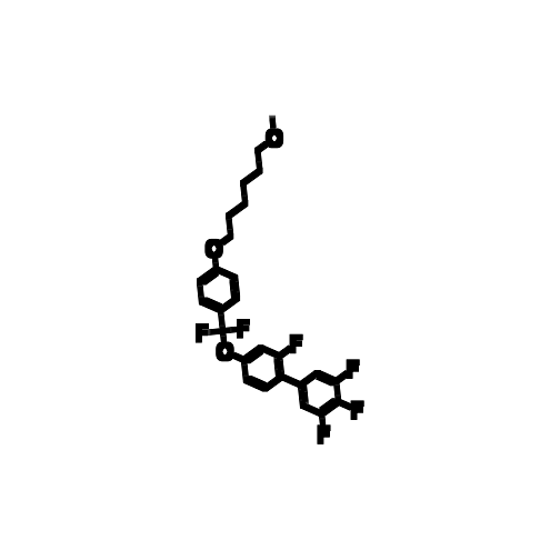 COCCCCCCOc1ccc(C(F)(F)Oc2ccc(-c3cc(F)c(F)c(F)c3)c(F)c2)cc1